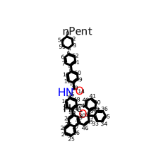 CCCCC[C@H]1CC[C@H](c2ccc(-c3ccc(C(=O)Nc4ccc(-c5cc6ccccc6c6c5OC(c5ccccc5)(c5ccccc5C)C=C6)cc4)cc3)cc2)CC1